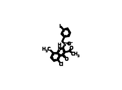 CC(=O)c1c([S+]([O-])Cc2cccc(I)c2)[nH]c2c(C)ccc(Cl)c2c1=O